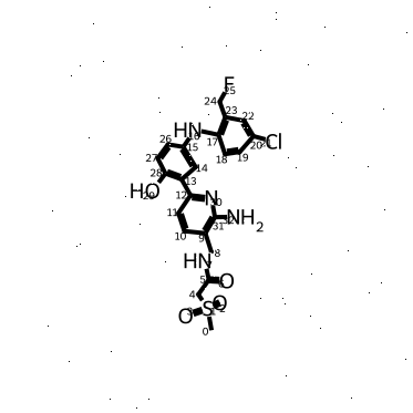 CS(=O)(=O)CC(=O)NCc1ccc(-c2cc(Nc3ccc(Cl)cc3CF)ccc2O)nc1N